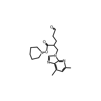 Cc1cc(C)c2ncn(CC(CCC=O)C(=O)ON3CCCCC3)c2n1